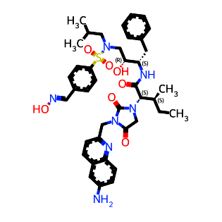 CC[C@H](C)[C@@H](C(=O)N[C@@H](Cc1ccccc1)[C@H](O)CN(CC(C)C)S(=O)(=O)c1ccc(C=NO)cc1)N1CC(=O)N(Cc2ccc3cc(N)ccc3n2)C1=O